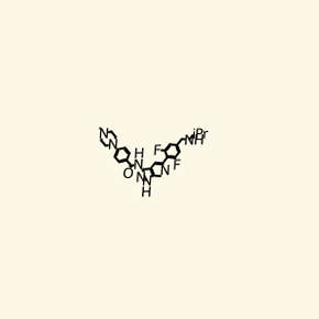 CC(C)NCc1cc(F)c(-c2cc3c(NC(=O)c4ccc(N5CCN(C)CC5)cc4)n[nH]c3cn2)c(F)c1